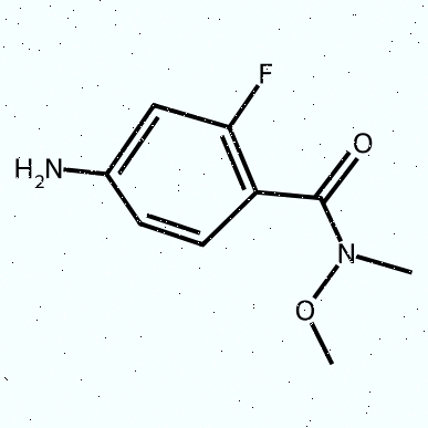 CON(C)C(=O)c1ccc(N)cc1F